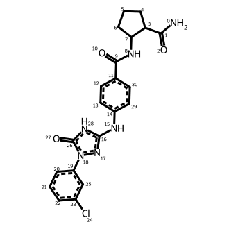 NC(=O)C1CCCC1NC(=O)c1ccc(Nc2nn(-c3cccc(Cl)c3)c(=O)[nH]2)cc1